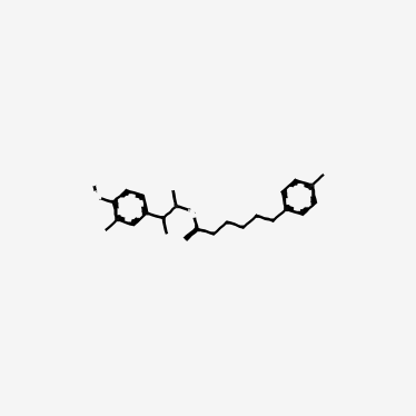 C=C(CCCCCc1ccc(C)cc1)NC(C)C(C)c1ccc(SCCC)c(C)c1